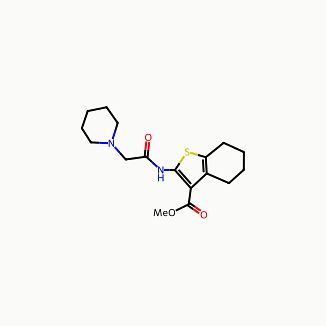 COC(=O)c1c(NC(=O)CN2CCCCC2)sc2c1CCCC2